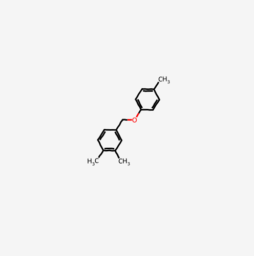 Cc1ccc(OCc2ccc(C)c(C)c2)cc1